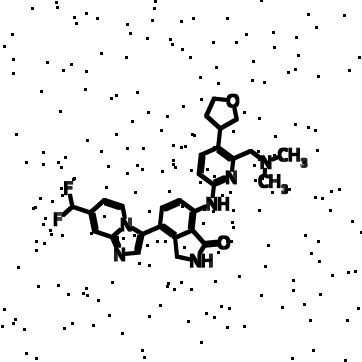 CN(C)Cc1nc(Nc2ccc(-c3cnc4cc(C(F)F)ccn34)c3c2C(=O)NC3)ccc1C1CCOC1